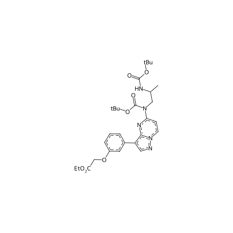 CCOC(=O)COc1cccc(-c2cnn3ccc(N(CC(C)NC(=O)OC(C)(C)C)C(=O)OC(C)(C)C)nc23)c1